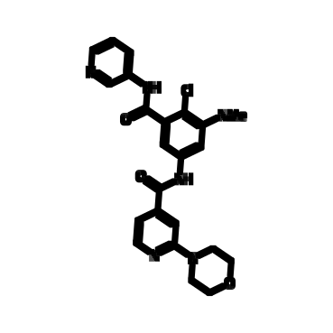 CNc1cc(NC(=O)c2ccnc(N3CCOCC3)c2)cc(C(=O)Nc2cccnc2)c1Cl